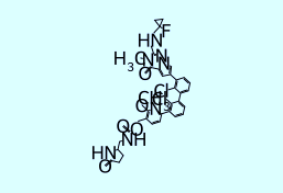 COc1nc(-c2cccc(-c3cccc(-c4cc5c(=O)n(C)c(CNCC6(F)CC6)nn5c4)c3Cl)c2Cl)ccc1COC(=O)NCC1CCC(=O)N1